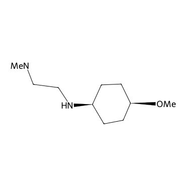 [CH2-][NH2+]CCN[C@H]1CC[C@@H](OC)CC1